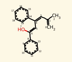 C=C(C)/C=C(\C=C(/O)c1ccccc1)c1ccccc1